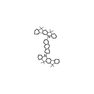 CC1(C)c2ccccc2-c2cc3c(cc21)C(C)(C)c1ccccc1N3c1ccc2cc3cc(N4c5ccccc5C(C)(C)c5cc6c(cc54)-c4ccccc4C6(C)C)ccc3cc2c1